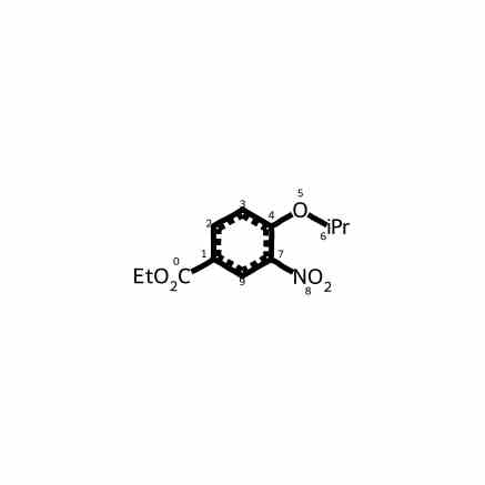 CCOC(=O)c1ccc(OC(C)C)c([N+](=O)[O-])c1